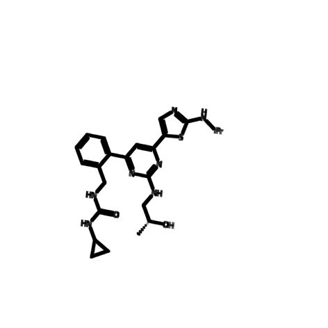 CC(C)Nc1ncc(-c2cc(-c3ccccc3CNC(=O)NC3CC3)nc(NC[C@@H](C)O)n2)s1